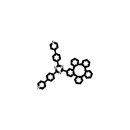 c1ccc2c(c1)c1ccccc1c1ccccc1c1cc(-c3nc(-c4ccc(-c5ccncc5)cc4)nc(-c4ccc(-c5ccncc5)cc4)n3)ccc1c1ccccc21